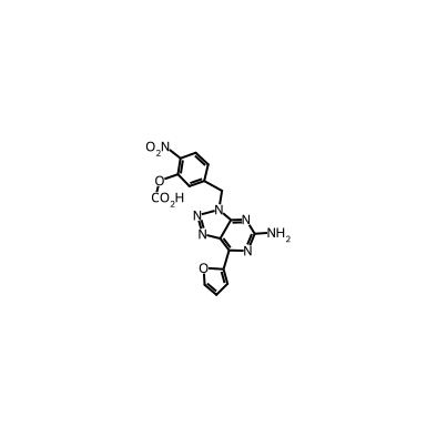 Nc1nc(-c2ccco2)c2nnn(Cc3ccc([N+](=O)[O-])c(OC(=O)O)c3)c2n1